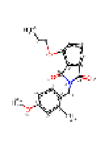 CCCOc1cccc2c1C(=O)N(Cc1ccc(OC)cc1C)C2=O